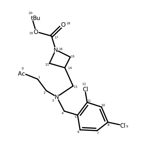 CC(=O)CCN(Cc1ccc(Cl)cc1Cl)CC1CN(C(=O)OC(C)(C)C)C1